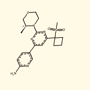 C[C@H]1COCCN1c1nc(-c2ccc(N)nc2)cc(C2(S(C)(=O)=O)CCC2)n1